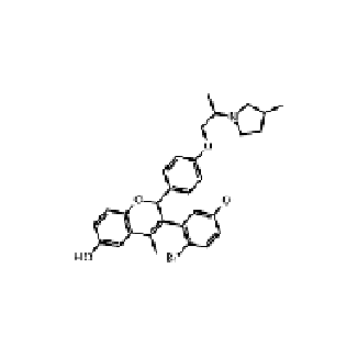 CC1=C(c2cc(O)ccc2Br)C(c2ccc(OCC(C)N3CCC(C)C3)cc2)Oc2ccc(O)cc21